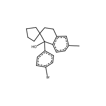 Cc1ccc2c(c1)CCC1(CCCC1)C2(O)c1ccc(Br)cc1